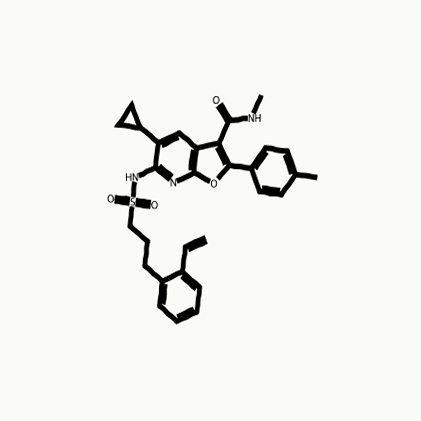 C=Cc1ccccc1CCCS(=O)(=O)Nc1nc2oc(-c3ccc(C)cc3)c(C(=O)NC)c2cc1C1CC1